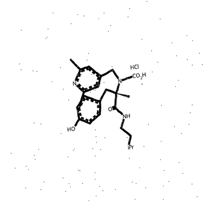 Cc1cc(CN(C(=O)O)[C@@](C)(Cc2ccc(O)cc2)C(=O)NCCC(C)C)cc(C)n1.Cl